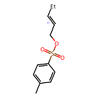 CC/C=C/COS(=O)(=O)c1ccc(C)cc1